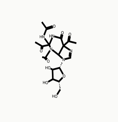 CC(=O)NC1(C(C)=O)NC(=O)C2(C(C)=O)N=CN([C@@H]3O[C@H](CO)C(O)C3O)C2N1C(C)=O